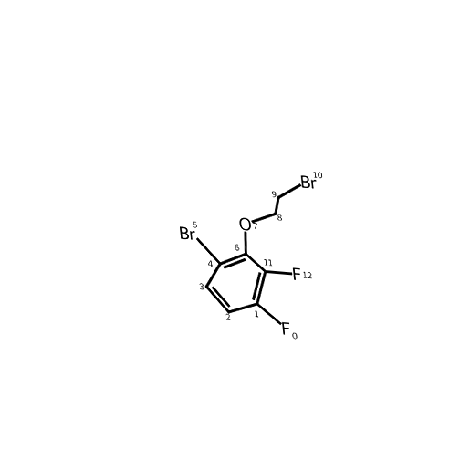 Fc1ccc(Br)c(OCCBr)c1F